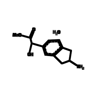 COC(=O)C(O)c1ccc2c(c1)CC(N)C2.O